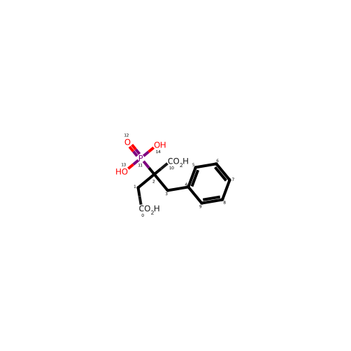 O=C(O)CC(Cc1ccccc1)(C(=O)O)P(=O)(O)O